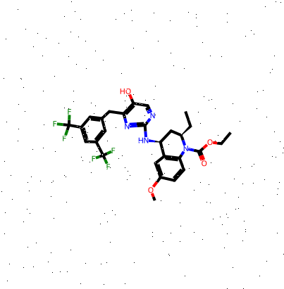 CCOC(=O)N1c2ccc(OC)cc2[C@@H](Nc2ncc(O)c(Cc3cc(C(F)(F)F)cc(C(F)(F)F)c3)n2)C[C@H]1CC